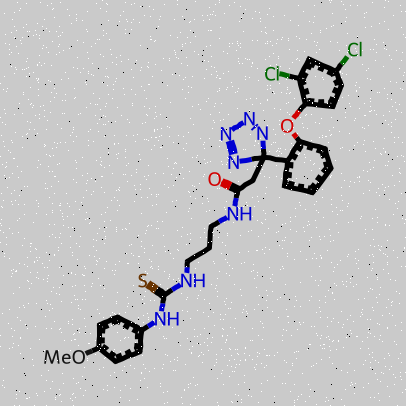 COc1ccc(NC(=S)NCCCNC(=O)CC2(c3ccccc3Oc3ccc(Cl)cc3Cl)N=NN=N2)cc1